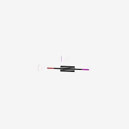 BrC#CI.I